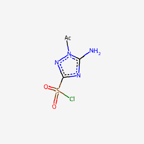 CC(=O)n1nc(S(=O)(=O)Cl)nc1N